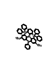 CC(C)(C)c1cc2c3c(c1)[Si](c1ccccc1)(c1ccccc1)c1cccc4c1N3c1c(cc(C(C)(C)C)cc1[Si]4(c1ccccc1)c1ccccc1)B2c1ccccc1